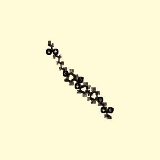 C=CC(=O)OCCCCCCOc1ccc(C(=O)Oc2ccc(-c3ccc(OCCOC(=O)C=C)cc3)cc2)cc1